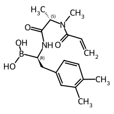 C=CC(=O)N(C)[C@@H](C)C(=O)N[C@@H](Cc1ccc(C)c(C)c1)B(O)O